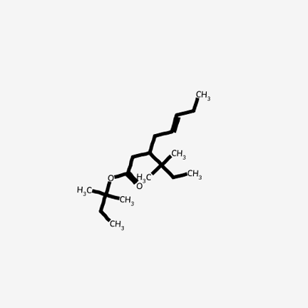 CCC=CCC(CC(=O)OC(C)(C)CC)C(C)(C)CC